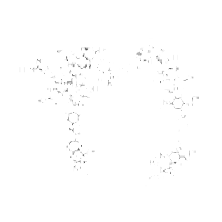 C=C1C[C@H]2CNc3cc(OCCCCCOc4cc(N)c(C(=O)N5CC(=C)C[C@H]5C5OCCN5C(=O)[C@H](C)NC(=O)[C@@H](NC(=O)CCCCCN5C(=O)CC(SC[C@H](NC(=O)[C@H](CC(=O)O)NC(=O)[C@H](CC(=O)O)NC(=O)[C@H](CCCNC(=N)N)NC(=O)[C@H](CC(=O)O)NC(=O)CC[C@@H](C)NC(=O)c6ccc(NCc7cnc8nc(N)[nH]c(=O)c8n7)cc6)C(=O)O)C5=O)C(C)C)cc4OC)c(OC)cc3C(=O)N2C1